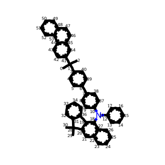 CC(C)(c1ccc(-c2ccc(N(c3ccccc3)c3c4c(cc5ccccc35)C(C)(C)c3ccccc3-4)cc2)cc1)c1ccc2c(ccc3ccccc32)c1